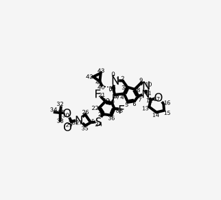 CN1Cc2c(ccc3c2cnn3C2CCCCO2)[C@@H](c2c(F)cc(SC3CN(C(=O)OC(C)(C)C)C3)cc2F)[C@@H]1CC1CC1